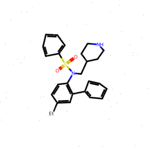 CCc1ccc(N(CC2CCNCC2)S(=O)(=O)c2ccccc2)c(-c2ccccc2)c1